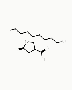 CCCCCCCCCC.O=C1CC(C(=O)O)CN1